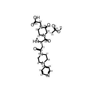 CN[C@H](CC(=O)N1CCN(c2ccncc2)CC1)C(=O)N1CCN(CC(=O)O)C(=O)[C@@H]1CC(=O)OC